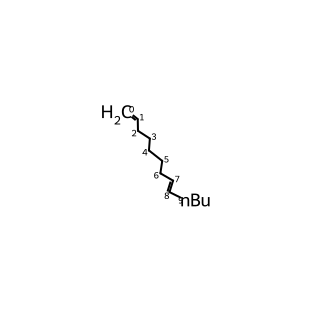 C=CCCCCCC=CCCCC